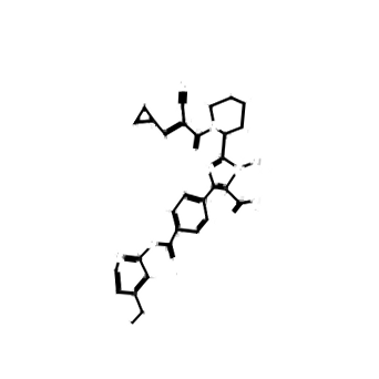 CCc1ccnc(NC(=O)c2ccc(-c3nc(C4CCCCN4C(=O)C(C#N)=CC4CC4)n(N)c3C(N)=O)cc2)c1